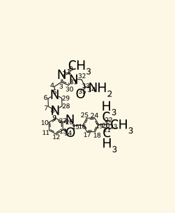 Cc1nc(CN2CCN(c3cccc4oc(-c5ccc(C(C)(C)C)cc5)nc34)CC2)cn1CC(N)=O